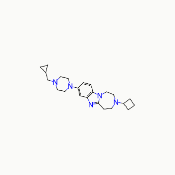 c1cc2c(cc1N1CCN(CC3CC3)CC1)nc1n2CCN(C2CCC2)CC1